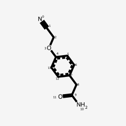 N#CCOc1ccc(CC(N)=O)cc1